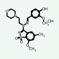 COc1cc(C=NN(CCN2CCOCC2)C2=NS(=O)(=O)c3c(OC)cc(C)cc32)ccc1O.Cl